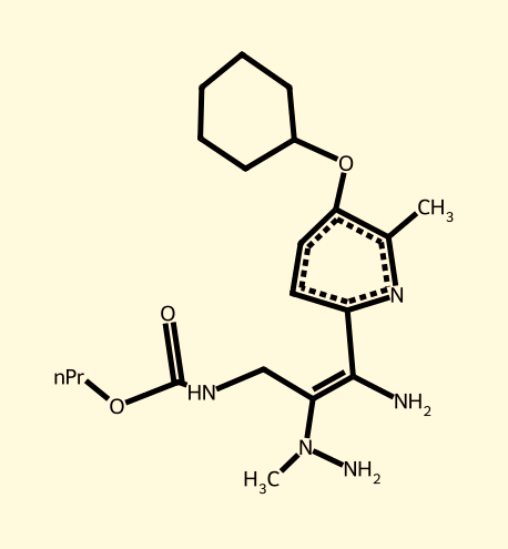 CCCOC(=O)NC/C(=C(/N)c1ccc(OC2CCCCC2)c(C)n1)N(C)N